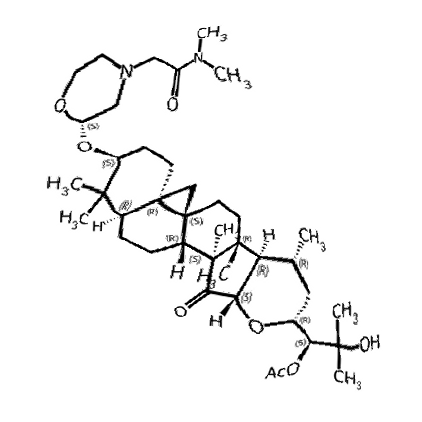 CC(=O)O[C@@H]([C@H]1C[C@@H](C)[C@H]2[C@H](O1)C(=O)[C@@]1(C)[C@@H]3CC[C@H]4C(C)(C)[C@@H](O[C@H]5CN(CC(=O)N(C)C)CCO5)CC[C@@]45C[C@@]35CC[C@]21C)C(C)(C)O